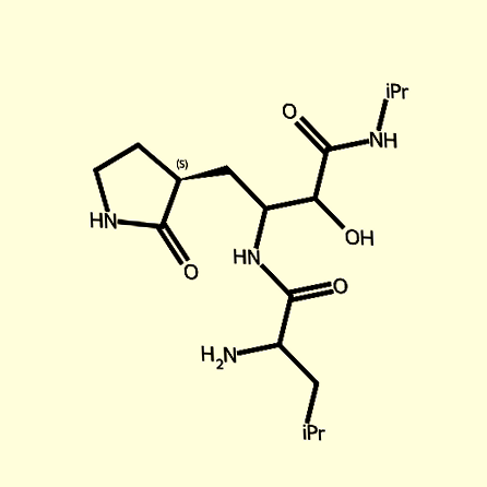 CC(C)CC(N)C(=O)NC(C[C@@H]1CCNC1=O)C(O)C(=O)NC(C)C